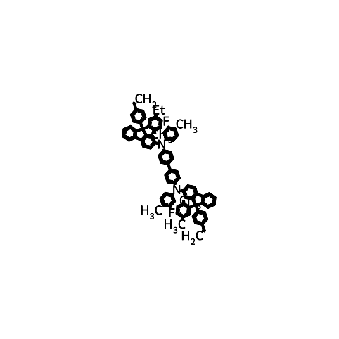 C=Cc1ccc(C2(c3cc(C)ccc3C)c3ccccc3-c3ccc(N(c4ccc(-c5ccc(N(c6ccc(C)c(F)c6)c6ccc7c(c6)C(c6ccc(C=C)cc6)(c6cc(CC)ccc6C)c6ccccc6-7)cc5)cc4)c4ccc(C)c(F)c4)cc32)cc1